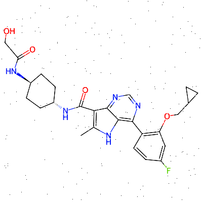 Cc1[nH]c2c(-c3ccc(F)cc3OCC3CC3)ncnc2c1C(=O)N[C@H]1CC[C@H](NC(=O)CO)CC1